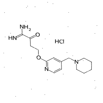 Cl.N=C(N)C(=O)CCOc1cc(CN2CCCCC2)ccn1